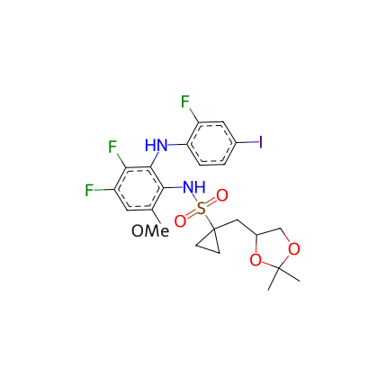 COc1cc(F)c(F)c(Nc2ccc(I)cc2F)c1NS(=O)(=O)C1(CC2COC(C)(C)O2)CC1